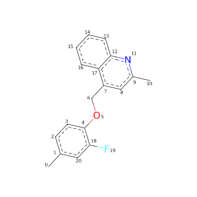 Cc1ccc(OCc2cc(C)nc3ccccc23)c(F)c1